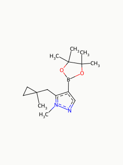 Cn1ncc(B2OC(C)(C)C(C)(C)O2)c1CC1(C)CC1